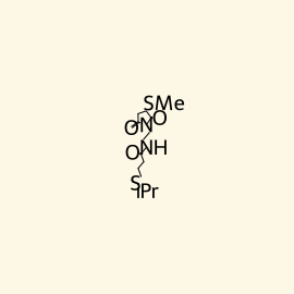 CSC1CC(=O)N(CCNC(=O)CCCSC(C)C)C1=O